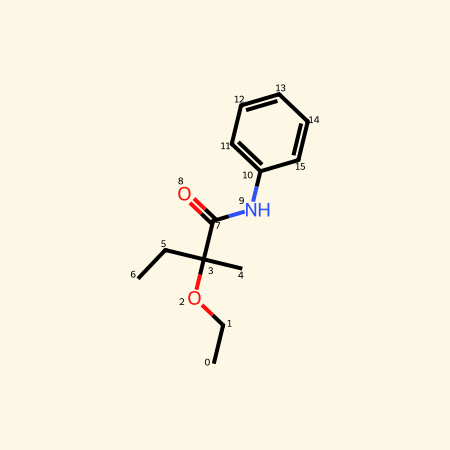 CCOC(C)(CC)C(=O)Nc1ccccc1